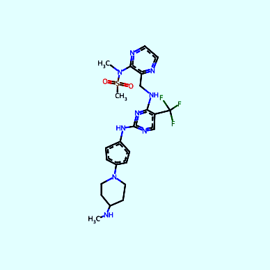 CNC1CCN(c2ccc(Nc3ncc(C(F)(F)F)c(NCc4nccnc4N(C)S(C)(=O)=O)n3)cc2)CC1